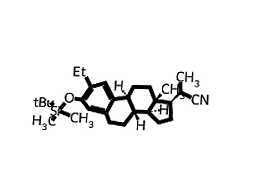 CCc1cc2c(cc1O[Si](C)(C)C(C)(C)C)CC[C@@H]1[C@@H]2CC[C@]2(C)[C@@H](C(C)C#N)CC[C@@H]12